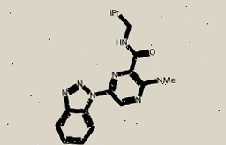 CNc1ncc(-n2nnc3ccccc32)nc1C(=O)NCC(C)C